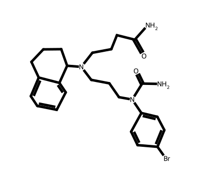 NC(=O)CCCN(CCCN(C(N)=O)c1ccc(Br)cc1)C1CCCc2ccccc21